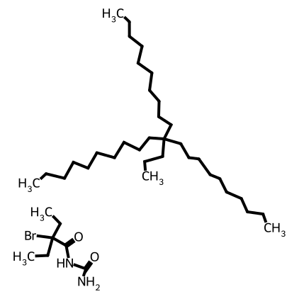 CCC(Br)(CC)C(=O)NC(N)=O.CCCCCCCCCCC(CCC)(CCCCCCCCCC)CCCCCCCCCC